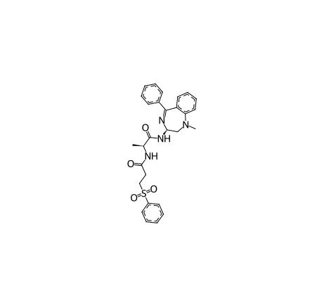 C[C@H](NC(=O)CCS(=O)(=O)c1ccccc1)C(=O)N[C@@H]1CN(C)c2ccccc2C(c2ccccc2)=N1